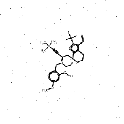 COc1ccc(CN2CC[C@@]3(CC2C#C[Si](C)(C)C)OCCc2c3sc(C(F)(F)F)c2C=O)c(OC)c1